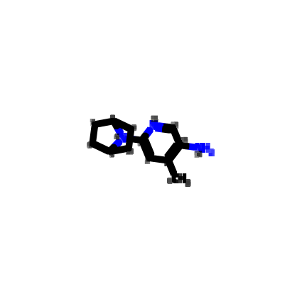 Cc1cc(N2C3CCC2CC3)ncc1N